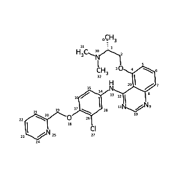 C[C@H](COc1cccc2ncnc(Nc3ccc(OCc4ccccn4)c(Cl)c3)c12)N(C)C